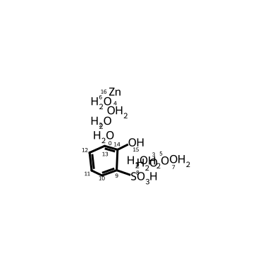 O.O.O.O.O.O.O.O.O=S(=O)(O)c1ccccc1O.[Zn]